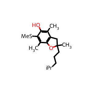 CSc1c(C)c2c(c(C)c1O)CC(C)(CCCC(C)C)O2